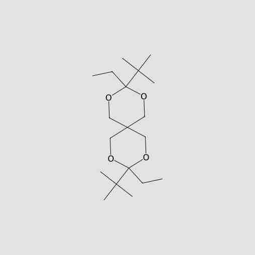 CCC1(C(C)(C)C)OCC2(CO1)COC(CC)(C(C)(C)C)OC2